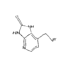 CC(C)Cc1ccnc2[nH]c(=O)[nH]c12